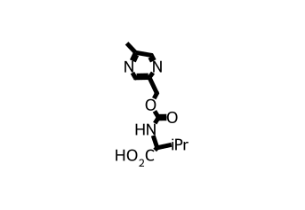 Cc1cnc(COC(=O)NC(C(=O)O)C(C)C)cn1